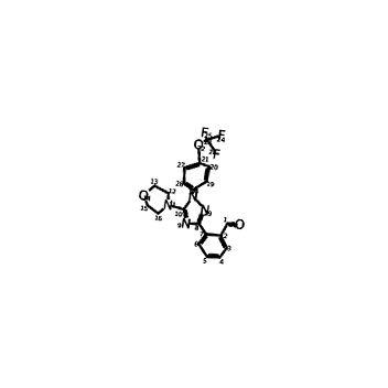 O=Cc1ccccc1-c1nc(N2CCOCC2)n(-c2ccc(OC(F)(F)F)cc2)n1